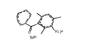 Cc1cc(C)c(S(=O)(=O)O)c(C)c1C(=O)c1ccccc1.[NaH]